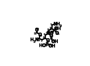 NCC(CC(CC(CC(N)OC=O)OP(O)O)OCO)P(=O)(O)O